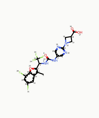 Cc1c(C(NC(=O)Nc2cnc(N3CC(C(=O)O)C3)nc2)C(F)(F)F)oc2c(F)cc(F)cc12